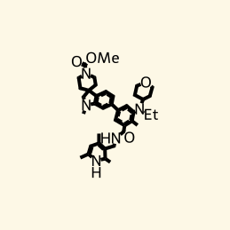 CCN(c1cc(-c2ccc3c(c2)N(C)CC32CCN(C(=O)OC)CC2)cc(C(=O)NCC2=C(C)C=C(C)NC2C)c1C)C1CCOCC1